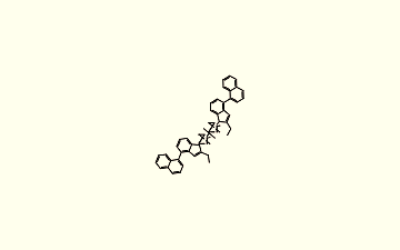 CCC1=Cc2c(-c3cccc4ccccc34)cccc2[CH]1[Zr]([CH3])([CH3])[C](C)(C)[Zr]([CH3])([CH3])[CH]1C(CC)=Cc2c(-c3cccc4ccccc34)cccc21